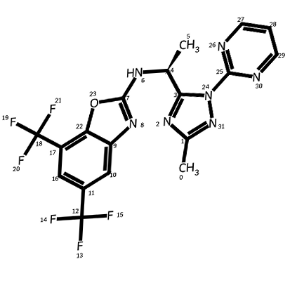 Cc1nc([C@H](C)Nc2nc3cc(C(F)(F)F)cc(C(F)(F)F)c3o2)n(-c2ncccn2)n1